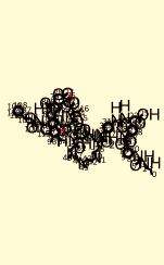 CCCNC(=O)Nc1cccc(S(=O)(=O)Nc2cccc(C(CC(=O)O)NC(=O)Nc3ccc(NC(=O)NCCN(C)CCN(C)CCN(C)CC(=O)NC(CC(N)=O)C(=O)N4CCCC4C(=O)NC(C(=O)OC4(CC)C(=O)OCc5c4cc4n(c5=O)Cc5c-4nc4cc(F)c(C)c6c4c5C(NC(=O)OCc4ccccc4)CC6)C(C)C)cc3)c2)c1